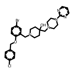 OC1(CN2CCN(c3ncccn3)CC2)CCN(Cc2cc(Br)ccc2OCc2ccc(Cl)cc2)CC1